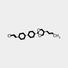 CCCC[C@H]1CO[C@H](C2CCC([C@H]3CC[C@H](/C=C/Cl)CC3)CC2)OC1